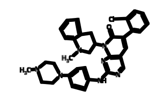 CN1CCN(c2ccc(Nc3ncc4cc(-c5ccccc5Cl)c(=O)n(C5Cc6ccccc6N(C)C5)c4n3)cc2)CC1